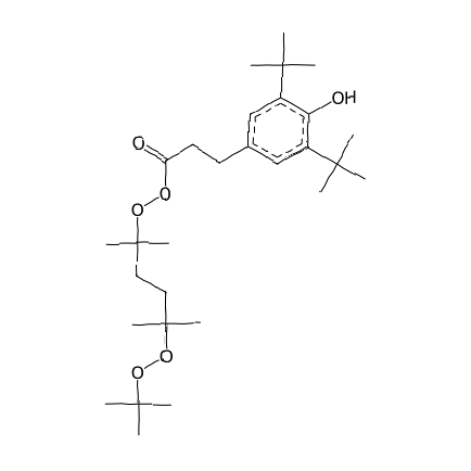 CC(C)(C)OOC(C)(C)CCC(C)(C)OOC(=O)CCc1cc(C(C)(C)C)c(O)c(C(C)(C)C)c1